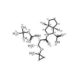 C[C@@H](OC1(C)CC1)[C@H](NC(=O)OC(C)(C)C)C(=O)N1C[C@@H]2CCC[C@@H]2[C@H]1C(=O)O